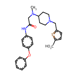 CN(CC(=O)Nc1ccc(Oc2ccccc2)cc1)C1CCN(Cc2ccc(C(=O)O)s2)CC1